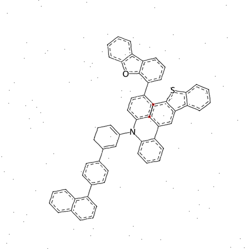 C1=C(c2ccc(-c3cccc4ccccc34)cc2)CCC=C1N(c1ccc(-c2cccc3c2oc2ccccc23)cc1)c1ccccc1-c1ccc2sc3ccccc3c2c1